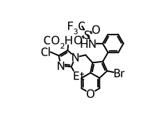 CCc1nc(Cl)c(C(=O)O)n1Cc1c2ccocc-2c(Br)c1-c1ccccc1NS(=O)(=O)C(F)(F)F